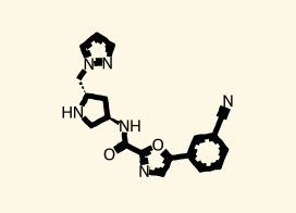 N#Cc1cccc(-c2cnc(C(=O)N[C@H]3CN[C@H](Cn4cccn4)C3)o2)c1